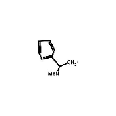 [CH2]C(NC)c1ccccc1